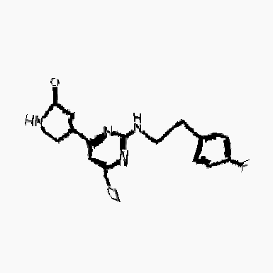 O=C1CC(c2cc(Cl)nc(NCCc3ccc(F)cc3)n2)CCN1